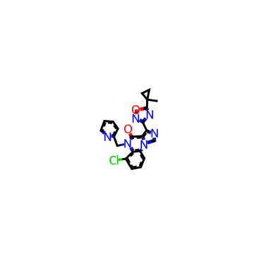 CC1(c2nc(-c3ncn4c3c(=O)n(Cc3ccccn3)c3c(Cl)cccc34)no2)CC1